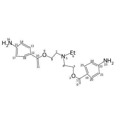 C=C(OCCN(CC)CCOC(=C)c1ccc(N)cc1)c1ccc(N)cc1